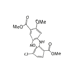 COC(=O)c1ccc(Cl)cc1Nc1cc(OC)c(C(=O)OC)cc1[N+](=O)[O-]